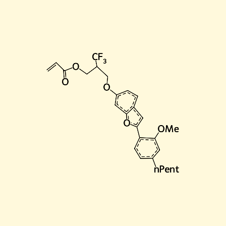 C=CC(=O)OCC(COc1ccc2cc(-c3ccc(CCCCC)cc3OC)oc2c1)C(F)(F)F